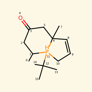 CC1CC(=O)CC2(C)C=CC[PH]12C(C)(C)C